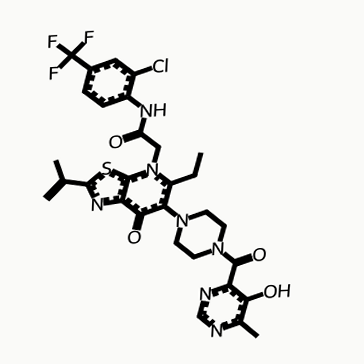 C=C(C)c1nc2c(=O)c(N3CCN(C(=O)c4ncnc(C)c4O)CC3)c(CC)n(CC(=O)Nc3ccc(C(F)(F)F)cc3Cl)c2s1